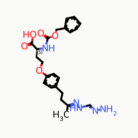 CC(CCc1ccc(OCC[C@H](NC(=O)OCc2ccccc2)C(=O)O)cc1)=NNC=NN